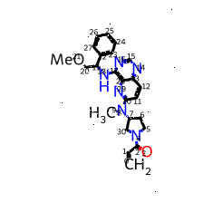 C=CC(=O)N1CC[C@H](N(C)c2ccc3ncnc(NC(COC)c4ccccc4)c3n2)C1